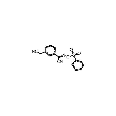 N#CCc1cccc(C(C#N)=NOS(=O)(=O)c2ccccc2)c1